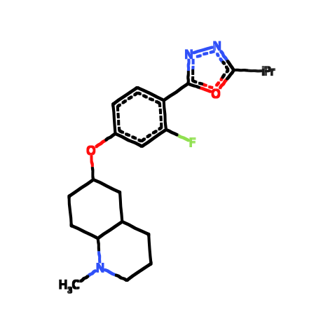 CC(C)c1nnc(-c2ccc(OC3CCC4C(CCCN4C)C3)cc2F)o1